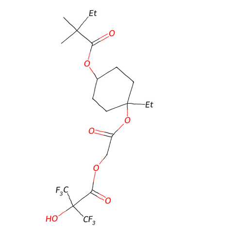 CCC1(OC(=O)COC(=O)C(O)(C(F)(F)F)C(F)(F)F)CCC(OC(=O)C(C)(C)CC)CC1